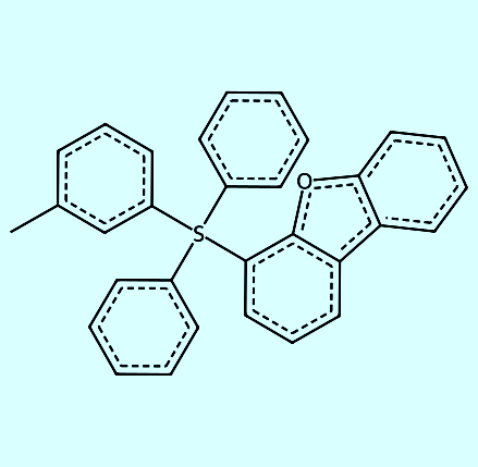 Cc1cccc(S(c2ccccc2)(c2ccccc2)c2cccc3c2oc2ccccc23)c1